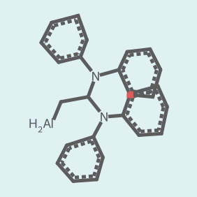 [AlH2][CH2]C(N(c1ccccc1)c1ccccc1)N(c1ccccc1)c1ccccc1